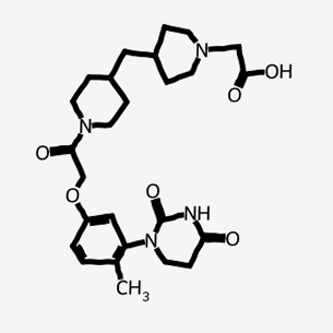 Cc1ccc(OCC(=O)N2CCC(CC3CCN(CC(=O)O)CC3)CC2)cc1N1CCC(=O)NC1=O